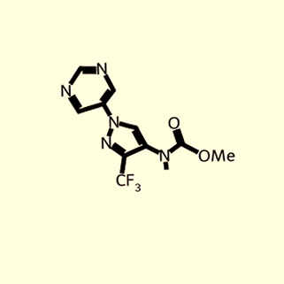 COC(=O)N(C)c1cn(-c2cncnc2)nc1C(F)(F)F